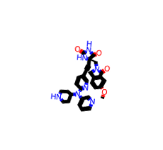 COc1ccc2c(c1)C(=O)N(C[C@@]1(C#Cc3ccc(N(c4cccnc4)C4CCNCC4)nc3)NC(=O)NC1=O)C2